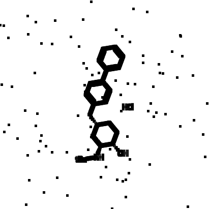 CC(C)(C)N[C@H]1C[C@H](Cc2ccc(-c3ccccc3)cc2)CC[C@@H]1O.Cl